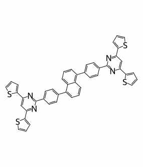 c1csc(-c2cc(-c3cccs3)nc(-c3ccc(-c4cccc5c(-c6ccc(-c7nc(-c8cccs8)cc(-c8cccs8)n7)cc6)cccc45)cc3)n2)c1